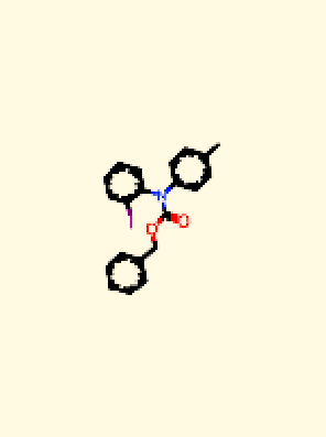 Cc1ccc(N(C(=O)OCc2ccccc2)c2ccccc2I)cc1